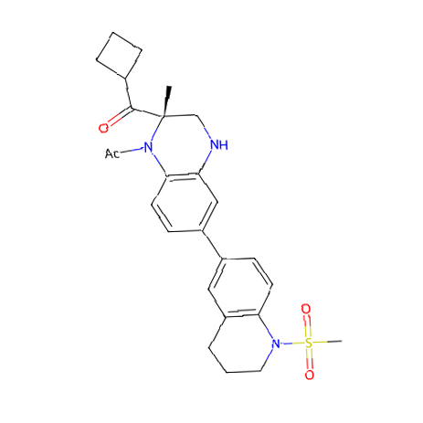 CC(=O)N1c2ccc(-c3ccc4c(c3)CCCN4S(C)(=O)=O)cc2NC[C@@]1(C)C(=O)C1CCC1